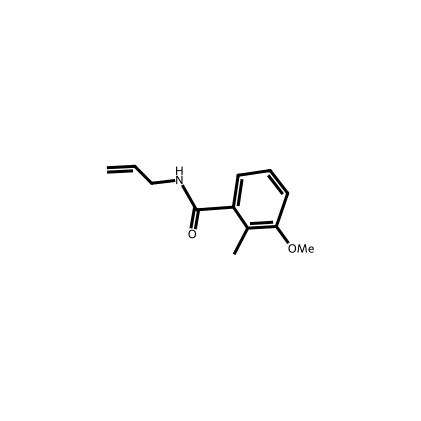 C=CCNC(=O)c1cccc(OC)c1C